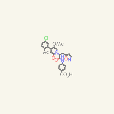 COc1cn(C(Cc2ccno2)C(=O)Nc2ccc(C(=O)O)cc2)c(=O)cc1-c1cc(Cl)ccc1C(C)=O